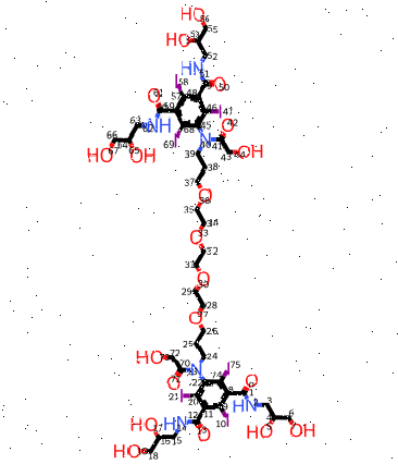 O=C(NCC(O)CO)c1c(I)c(C(=O)NCC(O)CO)c(I)c(N(CCCOCCOCCOCCOCCCN(C(=O)CO)c2c(I)c(C(=O)NCC(O)CO)c(I)c(C(=O)NCC(O)CO)c2I)C(=O)CO)c1I